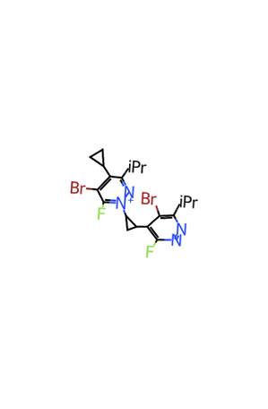 CC(C)c1nnc(F)c(C2CC2[n+]2nc(C(C)C)c(C3CC3)c(Br)c2F)c1Br